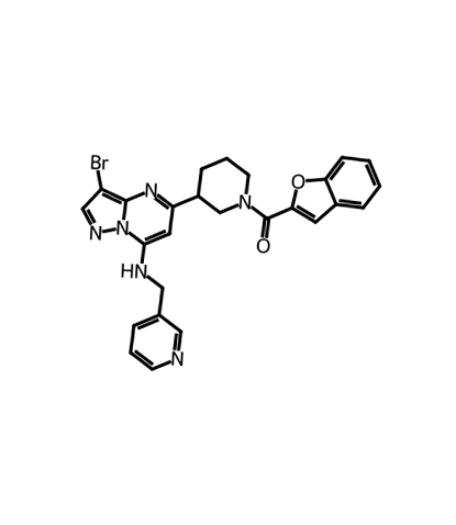 O=C(c1cc2ccccc2o1)N1CCCC(c2cc(NCc3cccnc3)n3ncc(Br)c3n2)C1